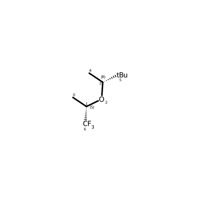 C[C@H](O[C@H](C)C(C)(C)C)C(F)(F)F